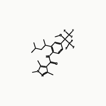 COC(c1ccc(NC(=O)c2c(C)nn(C)c2C)c(C(C)CC(C)C)c1)(C(F)(F)F)C(F)(F)F